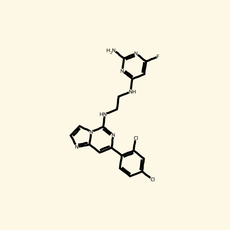 Nc1nc(F)cc(NCCNc2nc(-c3ccc(Cl)cc3Cl)cc3nccn23)n1